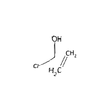 C=C.OCCl